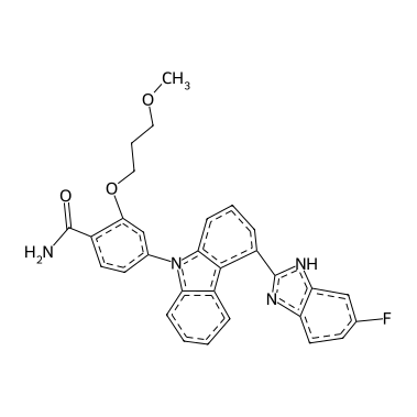 COCCCOc1cc(-n2c3ccccc3c3c(-c4nc5ccc(F)cc5[nH]4)cccc32)ccc1C(N)=O